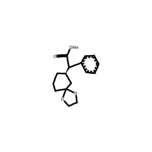 COC(=O)C(c1ccccc1)[C@@H]1CCCC2(C1)OCCO2